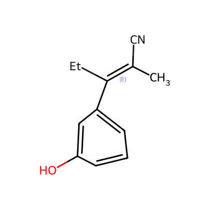 CC/C(=C(/C)C#N)c1cccc(O)c1